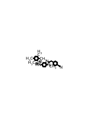 Cc1cc(C)c(C)c(S(=O)(=O)Nc2ccc3c(c2)nc(Cc2ccc(C#N)cc2)n3C)c1C